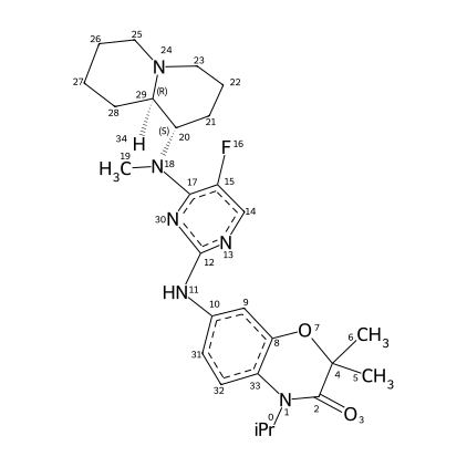 CC(C)N1C(=O)C(C)(C)Oc2cc(Nc3ncc(F)c(N(C)[C@H]4CCCN5CCCC[C@H]45)n3)ccc21